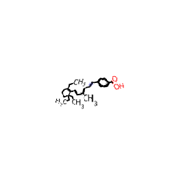 CCC1=C(C=CC(C)=C/C=C/c2ccc(C(=O)O)cc2)C(CC)(CC)CCC1